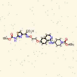 CC(C)(C)OC(=O)Nc1nc(/C(=N/OCCOc2ccc3c(NC4CCN(C(=O)OC(C)(C)C)CC4)nccc3c2)C(=O)O)cs1